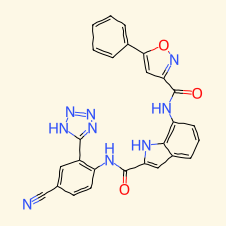 N#Cc1ccc(NC(=O)c2cc3cccc(NC(=O)c4cc(-c5ccccc5)on4)c3[nH]2)c(-c2nnn[nH]2)c1